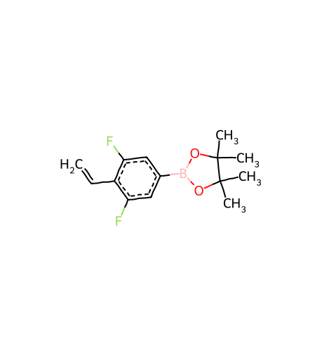 C=Cc1c(F)cc(B2OC(C)(C)C(C)(C)O2)cc1F